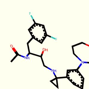 CC(=O)NC(Cc1cc(F)cc(F)c1)C(O)CNC1(c2cccc(N3CCCOCC3)c2)CC1